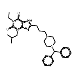 CCn1c(=O)c2[nH]c(CCCN3CCN(C(c4ccccc4)c4ccccc4)CC3)nc2n(CC(C)C)c1=O